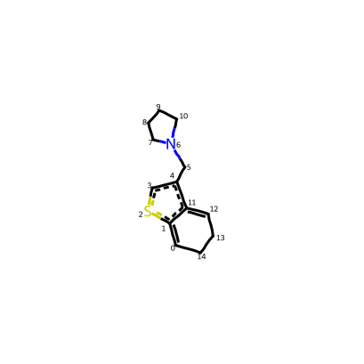 C1=c2scc(CN3CCCC3)c2=CCC1